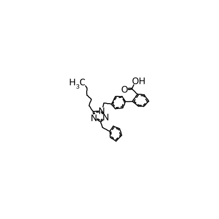 CCCCCc1nc(Cc2ccccc2)nn1Cc1ccc(-c2ccccc2C(=O)O)cc1